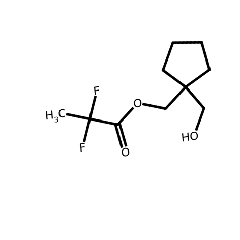 CC(F)(F)C(=O)OCC1(CO)CCCC1